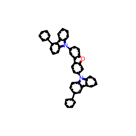 c1ccc(-c2ccc3c(c2)c2ccccc2n3-c2ccc3c(c2)oc2ccc(-n4c5ccccc5c5c(-c6ccccc6)cccc54)cc23)cc1